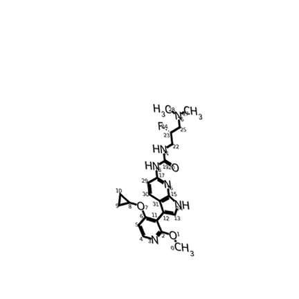 COc1nccc(OC2CC2)c1-c1c[nH]c2nc(NC(=O)NC[C@H](F)CN(C)C)ccc12